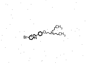 CCCCN(CCCC)CCCOc1ccc(-c2cn3cc(Br)ccc3n2)cc1